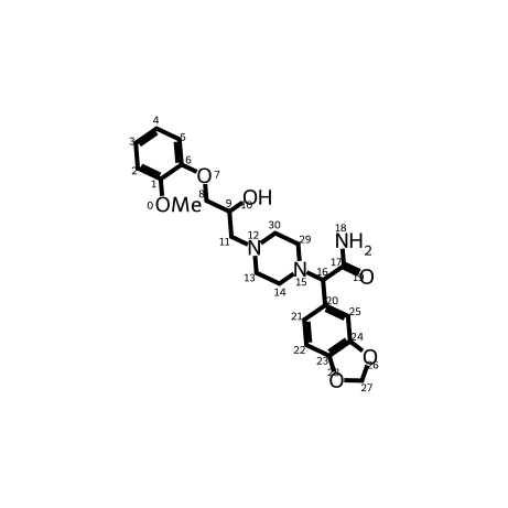 COc1ccccc1OCC(O)CN1CCN(C(C(N)=O)c2ccc3c(c2)OCO3)CC1